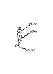 CCCCCCCCCCCCCCCC(=O)OCC(COCC(CO)OC(=O)CCCCCCCCCCCCCCC)OC(=O)CCCCCCCCCCCCCCC